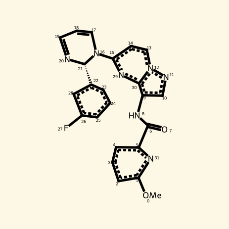 COc1cccc(C(=O)Nc2cnn3ccc(N4C=CC=N[C@H]4c4cccc(F)c4)nc23)n1